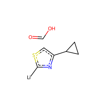 O=CO.[Li][c]1nc(C2CC2)cs1